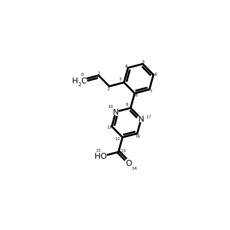 C=CCc1ccccc1-c1ncc(C(=O)O)cn1